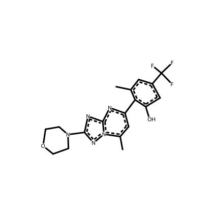 Cc1cc(C(F)(F)F)cc(O)c1-c1cc(C)n2nc(N3CCOCC3)nc2n1